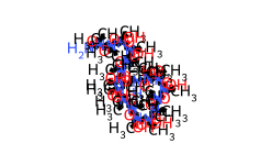 CCC(C)NCC(=O)N(CC(=O)N(CC(=O)N(CC(=O)N(CC(=O)N(CC(=O)N(CC(=O)N(CC(=O)N(CC(=O)N(CC(=O)N(CC(=O)N(CC(=O)N(CC(=O)N(CC(=O)N(CC(=O)N(CC(=O)N(CC(=O)N(CC(N)=O)C(C)CC)C(C)CC)CC(C)O)CC(C)O)C(C)CC)C(C)CC)CC(C)O)CC(C)O)C(C)CC)C(C)CC)CC(C)O)CC(C)O)C(C)CC)C(C)CC)CC(C)O)CC(C)O)C(C)CC